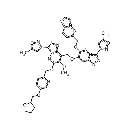 COc1c(OCc2ccc(OCC3CCCO3)cn2)nn2c(-c3cc(C)on3)nnc2c1COc1cc2nnc(-c3cc(C)on3)n2nc1OCc1ccc2nccn2n1